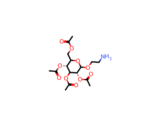 CC(=O)OCC1OC(OCCN)[C@H](OC(C)=O)C(OC(C)=O)[C@@H]1OC(C)=O